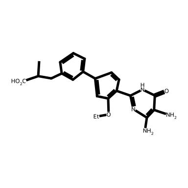 CCOc1cc(-c2cccc(CC(C)C(=O)O)c2)ccc1-c1nc(N)c(N)c(=O)[nH]1